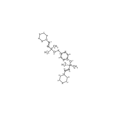 CC(C)(N=NC1CCCCC1)OCc1ccc(OC(C)(C)N=NC2CCCCC2)cc1